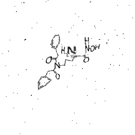 N[C@@H](CCCN(C(=O)Cc1ccccc1)C(=O)Cc1ccccc1)C(=O)NO